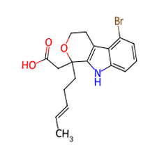 C/C=C/CCC1(CC(=O)O)OCCc2c1[nH]c1cccc(Br)c21